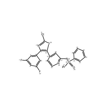 CCc1nc(-c2cc(F)cc(F)c2)c(-c2ccnc(N=S(=O)(c3ccccc3)C(C)C)c2)s1